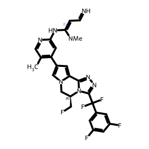 CN/C(=C\C=N)Nc1cc(-c2cc3n(c2)C[C@H](CF)n2c-3nnc2C(F)(F)c2cc(F)cc(F)c2)c(C)cn1